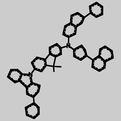 CC1(C)c2cc(N(c3ccc(-c4cccc5ccccc45)cc3)c3ccc4ccc(-c5ccccc5)cc4c3)ccc2-c2ccc(-n3c4ccccc4c4cc(-c5ccccc5)ccc43)cc21